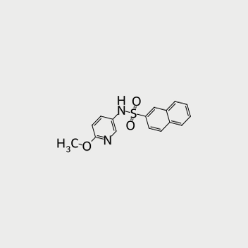 COc1ccc(NS(=O)(=O)c2ccc3ccccc3c2)cn1